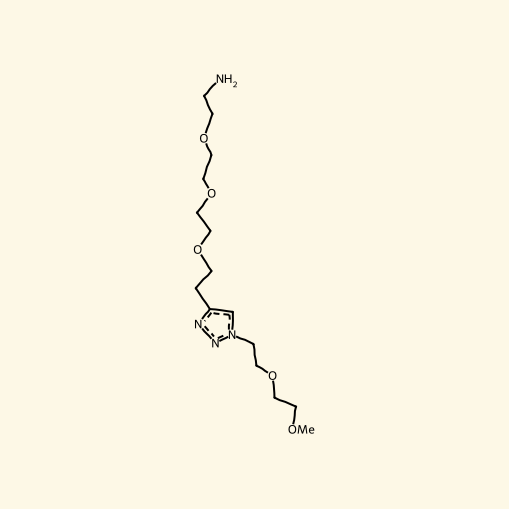 COCCOCCn1cc(CCOCCOCCOCCN)nn1